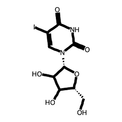 O=c1[nH]c(=O)n([C@@H]2O[C@H](CO)C(O)C2O)cc1I